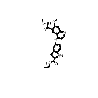 CCNC(=O)c1cc2cc(Oc3ccnc4cc(OC)c(C(=O)NOC)cc34)ccc2[nH]1